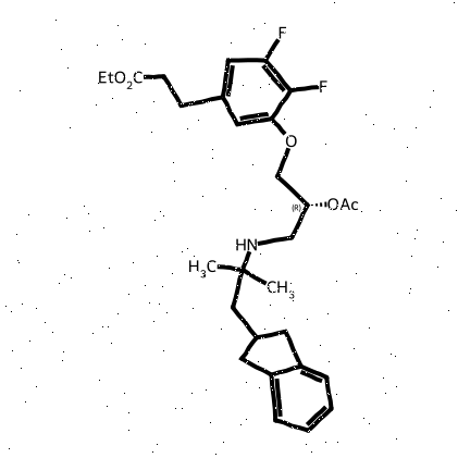 CCOC(=O)CCc1cc(F)c(F)c(OC[C@@H](CNC(C)(C)CC2Cc3ccccc3C2)OC(C)=O)c1